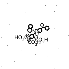 O=C(O)Oc1cc(OC(=O)O)c(C(=O)N(Cc2cccc(C(=O)c3ccccc3)c2)[C@H]2CCCc3ccccc32)cc1OC(=O)O